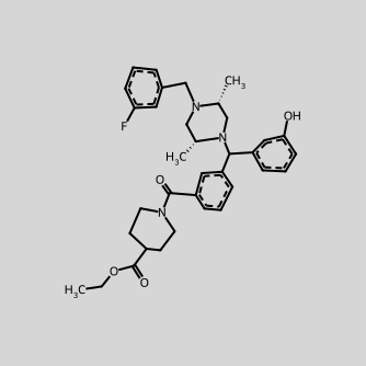 CCOC(=O)C1CCN(C(=O)c2cccc(C(c3cccc(O)c3)N3C[C@@H](C)N(Cc4cccc(F)c4)C[C@H]3C)c2)CC1